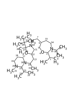 CC(C)C1OCC(CC(C)N2CC(CC(C)N3CCCN(C)C3C(C)C)OC2(C)C(C)(C)C)CCN1C(C)C